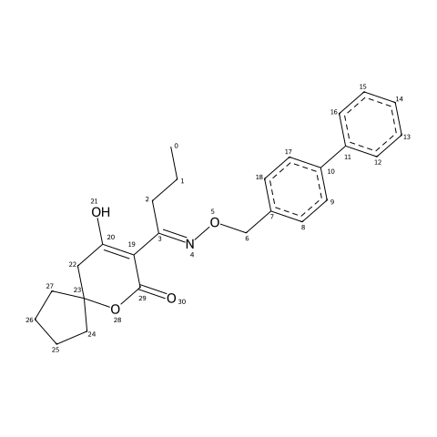 CCC/C(=N\OCc1ccc(-c2ccccc2)cc1)C1=C(O)CC2(CCCC2)OC1=O